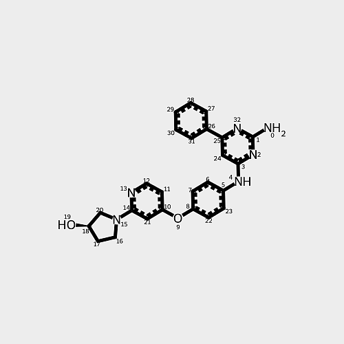 Nc1nc(Nc2ccc(Oc3ccnc(N4CC[C@@H](O)C4)c3)cc2)cc(-c2ccccc2)n1